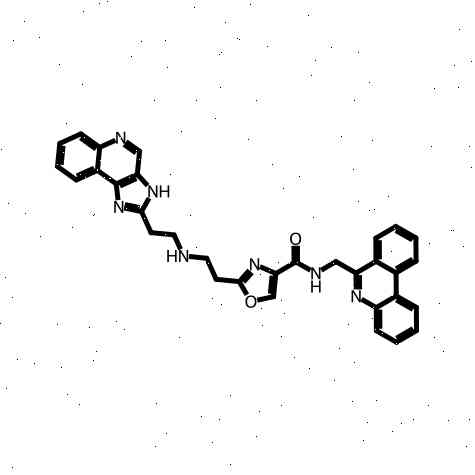 O=C(NCc1nc2ccccc2c2ccccc12)c1coc(CCNCCc2nc3c(cnc4ccccc43)[nH]2)n1